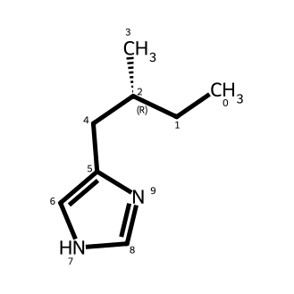 CC[C@@H](C)Cc1c[nH]cn1